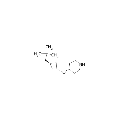 CC(C)(C)C[C@H]1C[C@H](OC2CCNCC2)C1